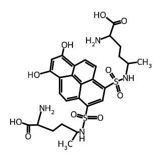 CC(CCC(N)C(=O)O)NS(=O)(=O)c1cc(S(=O)(=O)NC(C)CCC(N)C(=O)O)c2ccc3c(O)cc(O)c4ccc1c2c43